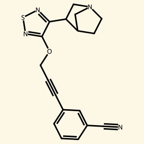 N#Cc1cccc(C#CCOc2nsnc2C2CN3CCC2C3)c1